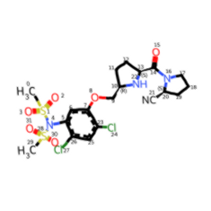 CS(=O)(=O)N(c1cc(OC[C@H]2CC[C@@H](C(=O)N3CCC[C@H]3C#N)N2)c(Cl)cc1Cl)S(C)(=O)=O